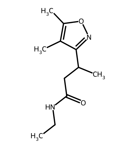 CCNC(=O)CC(C)c1noc(C)c1C